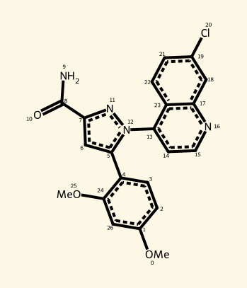 COc1ccc(-c2cc(C(N)=O)nn2-c2ccnc3cc(Cl)ccc23)c(OC)c1